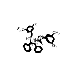 FC(F)(F)c1cc(CN[C@H](c2ccccc2)[C@H](NC(=S)Nc2cc(C(F)(F)F)cc(C(F)(F)F)c2)c2ccccc2)cc(C(F)(F)F)c1